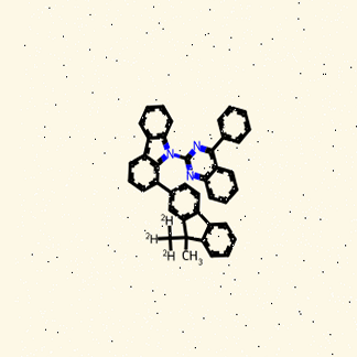 [2H]C([2H])([2H])C1(C)c2ccccc2-c2ccc(-c3cccc4c5ccccc5n(-c5nc(-c6ccccc6)c6ccccc6n5)c34)cc21